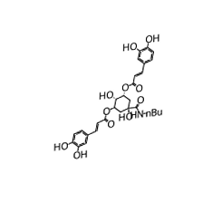 CCCCNC(=O)[C@]1(O)C[C@@H](OC(=O)C=Cc2ccc(O)c(O)c2)[C@H](O)[C@H](OC(=O)/C=C/c2ccc(O)c(O)c2)C1